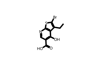 CCc1c(Br)sc2ncc(C(=O)O)c(O)c12